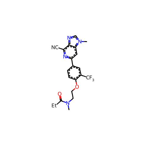 CCC(=O)N(C)CCOc1ccc(-c2cc3c(ncn3C)c(C#N)n2)cc1C(F)(F)F